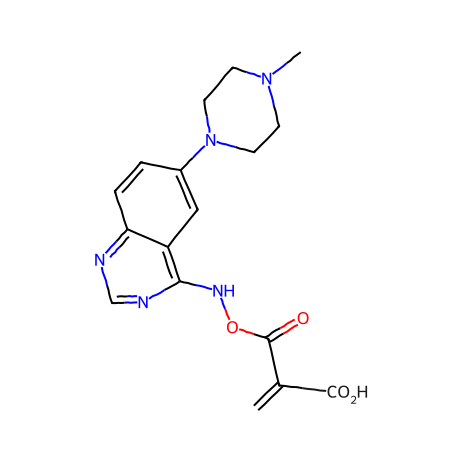 C=C(C(=O)O)C(=O)ONc1ncnc2ccc(N3CCN(C)CC3)cc12